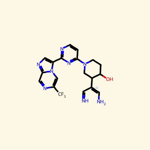 N=C/C(=C\N)C1CN(c2ccnc(-c3cnc4cnc(C(F)(F)F)cn34)n2)CCC1O